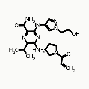 C=CC(=O)N1CC[C@@H](Nc2nc(Nc3cnn(CCO)c3)c(C(N)=O)nc2C(C)C)C1